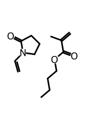 C=C(C)C(=O)OCCCC.C=CN1CCCC1=O